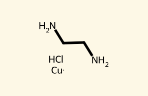 Cl.NCCN.[Cu]